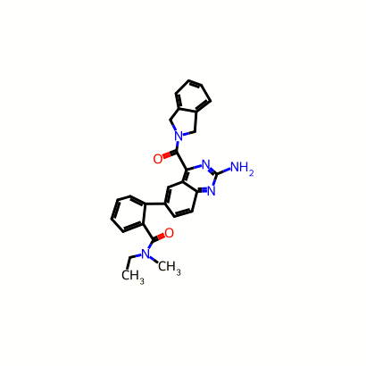 CCN(C)C(=O)c1ccccc1-c1ccc2nc(N)nc(C(=O)N3Cc4ccccc4C3)c2c1